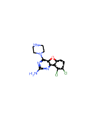 Nc1nc(N2CCNCC2)c2oc3ccc(Cl)c(Cl)c3c2n1